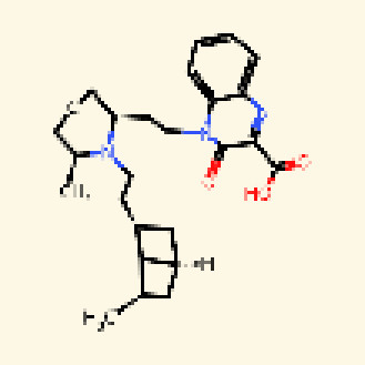 C[C@@H]1C[C@@H]2C[C@H](CCN3[C@H](CCn4c(=O)c(C(=O)O)nc5ccccc54)CCC[C@@H]3C)C21